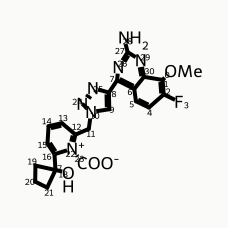 COc1c(F)ccc2c(-c3cn(Cc4cccc(C5(O)CCC5)[n+]4C(=O)[O-])nn3)nc(N)nc12